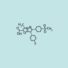 Cc1c(C(=O)O)oc2c(-c3ccc(F)cc3)c(-c3ccc(S(C)(=O)=O)cc3)nn12